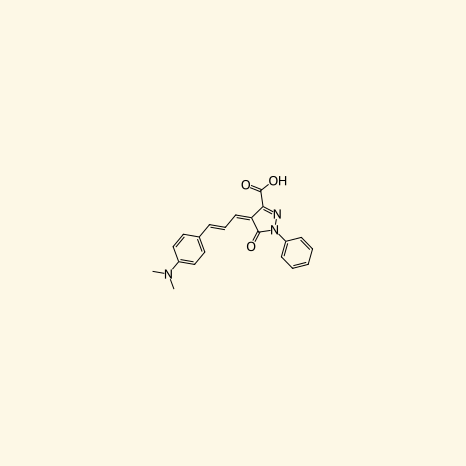 CN(C)c1ccc(/C=C/C=C2\C(=O)N(c3ccccc3)N=C2C(=O)O)cc1